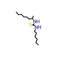 CCCCCCNC(=S)NC(C)CCCCCC